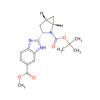 COC(=O)c1ccc2nc([C@@H]3C[C@@H]4C[C@@H]4N3C(=O)OC(C)(C)C)[nH]c2c1